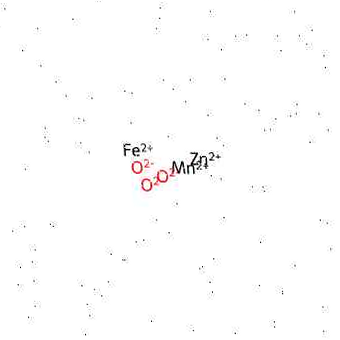 [Fe+2].[Mn+2].[O-2].[O-2].[O-2].[Zn+2]